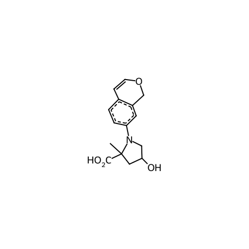 CC1(C(=O)O)CC(O)CN1c1ccc2c(c1)COC=C2